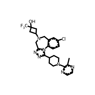 Cc1nccnc1N1CCC(c2nnc3n2-c2ccc(Cl)cc2CN(C2CC(O)(C(F)(F)F)C2)C3)CC1